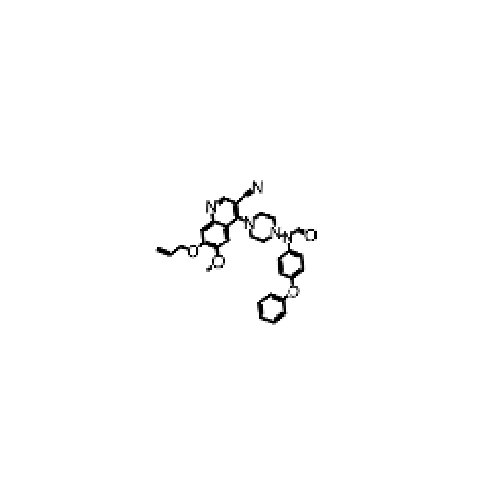 C=CCOc1cc2ncc(C#N)c(N3CCN(N(C=O)c4ccc(Oc5ccccc5)cc4)CC3)c2cc1OC